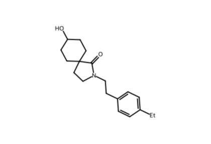 CCc1ccc(CCN2CCC3(CCC(O)CC3)C2=O)cc1